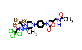 CC(=O)NCC1CN(c2ccc(N3CCN(C(NC(=O)C(Cl)(Cl)Cl)C(Br)(Br)Br)[C@@](C)(F)C3)cc2)C(=O)O1